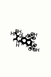 BNC(=O)C(C)Nc1ccc2c(S(=O)(=O)O)cc(S(=O)(=O)O)cc2c1